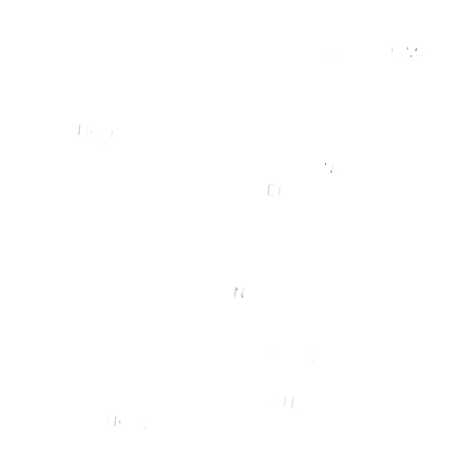 CCN1C=C(C(=O)OC)C=C/C1=C/C=C/C1=[N+](CCCCCC(=O)O)c2ccc(S(=O)(=O)O)cc2C1(C)C